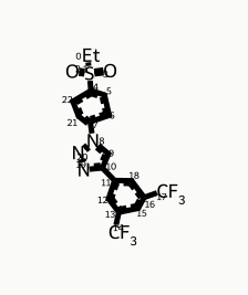 CCS(=O)(=O)c1ccc(-n2cc(-c3cc(C(F)(F)F)cc(C(F)(F)F)c3)nn2)cc1